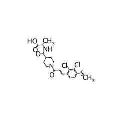 CSc1ccc(/C=C/C(=O)N2CCC(C(=O)NC(C)C(=O)O)CC2)c(Cl)c1Cl